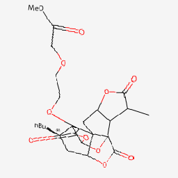 CCCC[C@@H]1CC2OC(=O)C34OC5OC(=O)C(OCCOCC(=O)OC)C51C23CC1OC(=O)C(C)C14